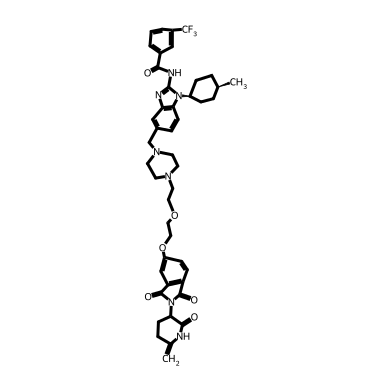 C=C1CCC(N2C(=O)c3ccc(OCCOCCN4CCN(Cc5ccc6c(c5)nc(NC(=O)c5cccc(C(F)(F)F)c5)n6[C@H]5CC[C@@H](C)CC5)CC4)cc3C2=O)C(=O)N1